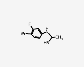 CC(S)Nc1ccc(C(C)C)c(F)c1